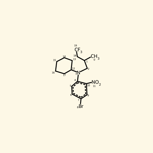 CC(CN(c1ccc(Br)cc1[N+](=O)[O-])C1CCCCC1)CC(F)(F)F